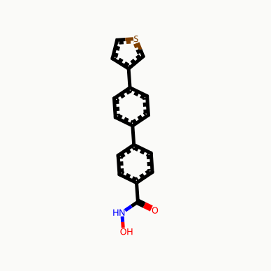 O=C(NO)c1ccc(-c2ccc(-c3ccsc3)cc2)cc1